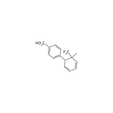 CC1(C(F)(F)F)C=CC=CC1c1ccc(C(=O)O)cc1